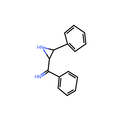 N=C(c1ccccc1)C1NC1c1ccccc1